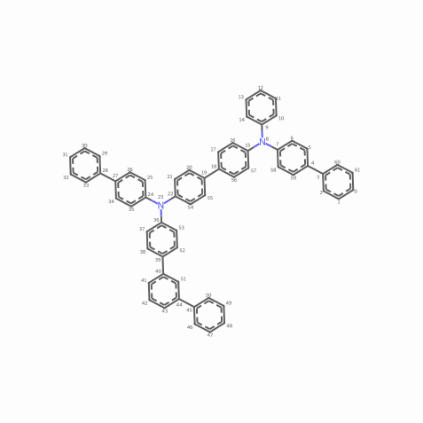 c1ccc(-c2ccc(N(c3ccccc3)c3ccc(-c4ccc(N(c5ccc(-c6ccccc6)cc5)c5ccc(-c6cccc(-c7ccccc7)c6)cc5)cc4)cc3)cc2)cc1